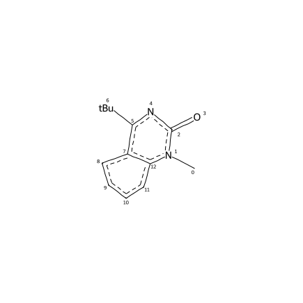 Cn1c(=O)nc(C(C)(C)C)c2ccccc21